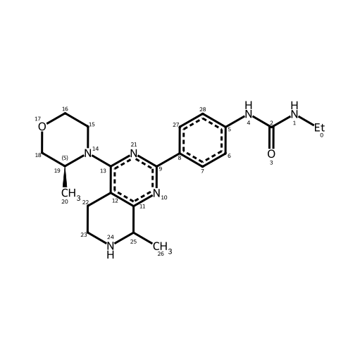 CCNC(=O)Nc1ccc(-c2nc3c(c(N4CCOC[C@@H]4C)n2)CCNC3C)cc1